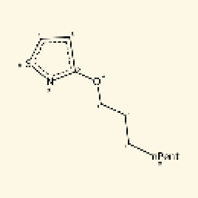 CCCCCCCCOc1ccsn1